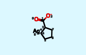 O=C([O-])C1CCCC1.[Ag+]